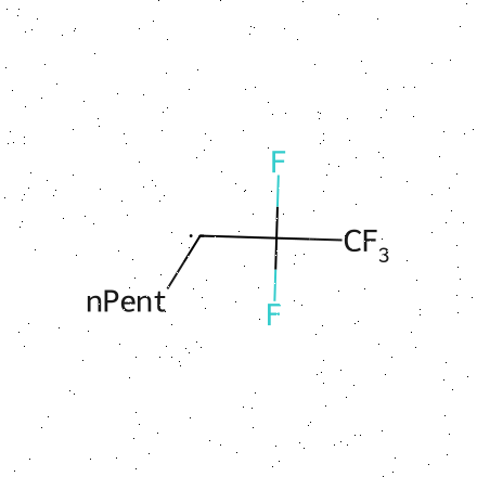 CCCCC[CH]C(F)(F)C(F)(F)F